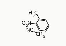 CC#N.Cc1ccccc1[N+](=O)[O-]